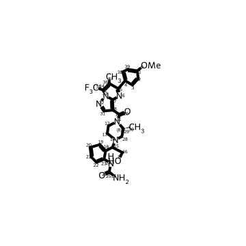 COc1ccc(-c2nc3c(C(=O)N4CCN(C(CO)c5ccccc5NC(N)=O)C[C@H]4C)cnn3c(C(F)(F)F)c2C)cc1